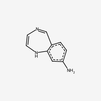 Nc1ccc2c(c1)NC=CN=C2